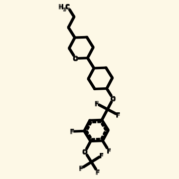 CCCC1CCC(C2CCC(OC(F)(F)c3cc(F)c(OC(F)(F)F)c(F)c3)CC2)OC1